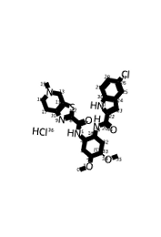 COC1CC(NC(=O)c2nc3c(s2)CN(C)CC3)C(NC(=O)c2cc3cc(Cl)ccc3[nH]2)C[C@@H]1OC.Cl